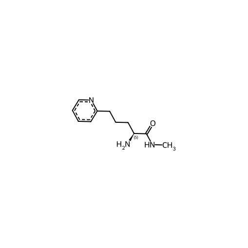 CNC(=O)[C@@H](N)CCCc1ccccn1